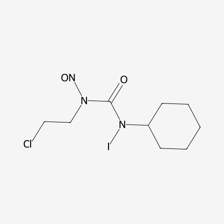 O=NN(CCCl)C(=O)N(I)C1CCCCC1